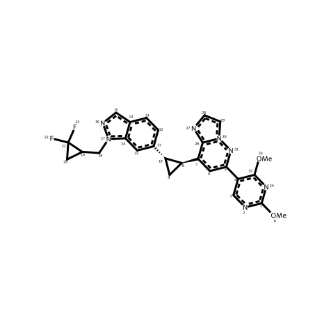 COc1ncc(-c2cc([C@H]3C[C@@H]3c3ccc4cnn(CC5CC5(F)F)c4c3)c3nccn3n2)c(OC)n1